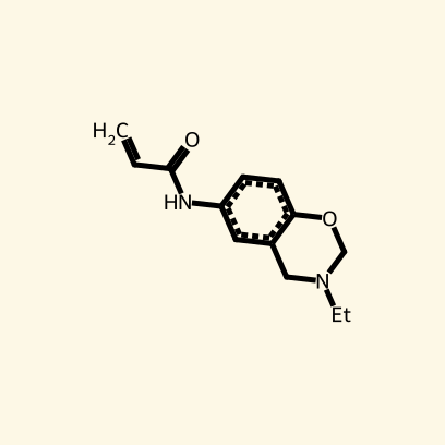 C=CC(=O)Nc1ccc2c(c1)CN(CC)CO2